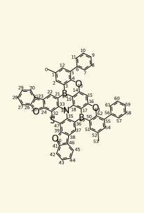 Cc1cc2c(c(-c3ccccc3)c1)Oc1cc3c4c5c1B2c1cc2c(oc6ccccc62)c2c1N5c1c(cc5c(oc6ccccc65)c1S2)B4c1cc(C)cc(-c2ccccc2)c1O3